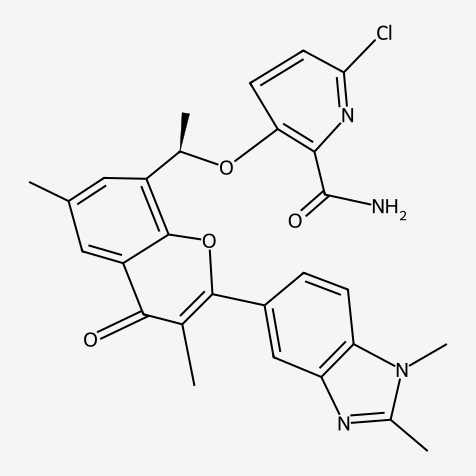 Cc1cc([C@@H](C)Oc2ccc(Cl)nc2C(N)=O)c2oc(-c3ccc4c(c3)nc(C)n4C)c(C)c(=O)c2c1